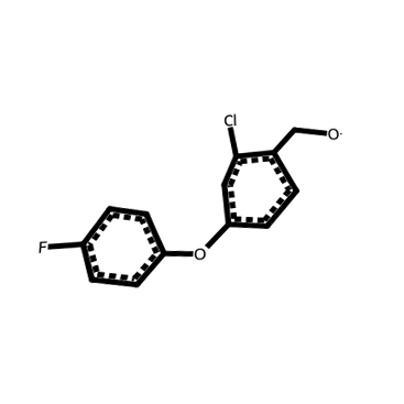 [O]Cc1ccc(Oc2ccc(F)cc2)cc1Cl